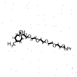 CCCOCCOCCOCCOCCOCC[N+]1(C)CCC(C)CC1